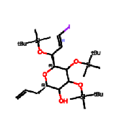 C=CC[C@@H]1O[C@@H](C(/C=C/I)O[Si](C)(C)C(C)(C)C)C(O[Si](C)(C)C(C)(C)C)C(O[Si](C)(C)C(C)(C)C)C1O